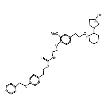 COc1cc(CCO[C@H]2CCCCC2N2CC[C@@H](O)C2)ccc1OCCNC(=O)OCCc1ccc(OCc2ccccc2)cc1